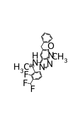 C[C@@H](Nc1ncnc2c1cc(Cc1ccccc1)c(=O)n2C)c1cccc(C(F)F)c1F